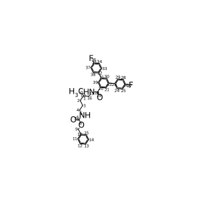 C[C@@H](CCCNC(=O)OCc1ccccc1)CNC(=O)c1cc(-c2ccc(F)cc2)cc(-c2ccc(F)cc2)c1